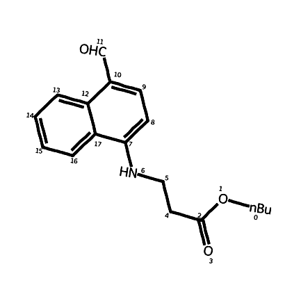 CCCCOC(=O)CCNc1ccc(C=O)c2ccccc12